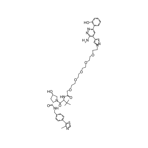 Cc1ncsc1-c1ccc(CNC(=O)[C@@H]2C[C@@H](O)CN2C(=O)[C@@H](NC(=O)COCCOCCOCCOCCOCCn2cc(-c3cc(-c4ccccc4O)nnc3N)cn2)C(C)(C)C)cc1